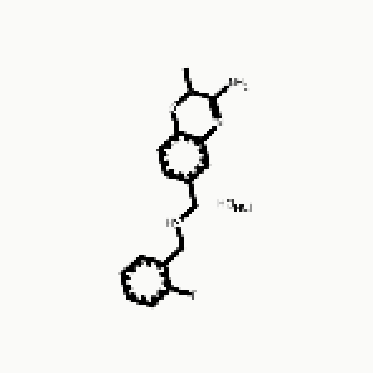 CC1Oc2ccc(CNCc3ccccc3F)cc2N=C1N.Cl.Cl